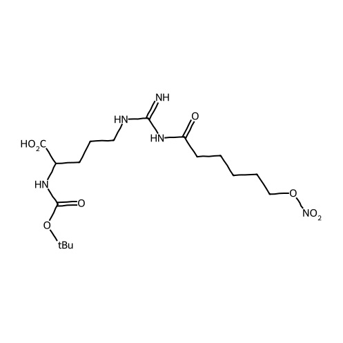 CC(C)(C)OC(=O)NC(CCCNC(=N)NC(=O)CCCCCO[N+](=O)[O-])C(=O)O